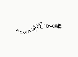 COCCOCc1cccc2c1ccn2-c1ccnc(NC2CCC(NC(C)=O)CC2)n1